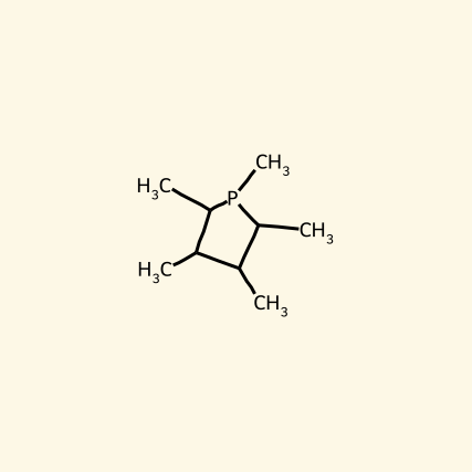 CC1C(C)C(C)P(C)C1C